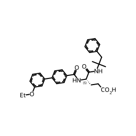 CCOc1cccc(-c2ccc(C(=O)N[C@@H](CCC(=O)O)C(=O)NC(C)(C)Cc3ccccc3)cc2)c1